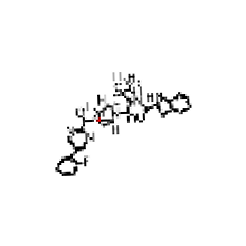 CC(C)(C)[C@H](NC(=O)c1cc2ccccc2[nH]1)C(=O)N1C[C@@H]2C[C@H]1CN2C(=O)c1ncc(-c2ccccc2F)cn1